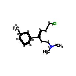 CN(C)CCC(=CCCCl)c1cccc(C(F)(F)F)c1